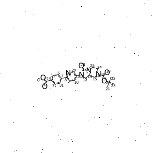 COC(=O)c1ccc(-c2ccc(N3CC4CN(C(=O)OC(C)(C)C)CCN4C3=O)cn2)cc1